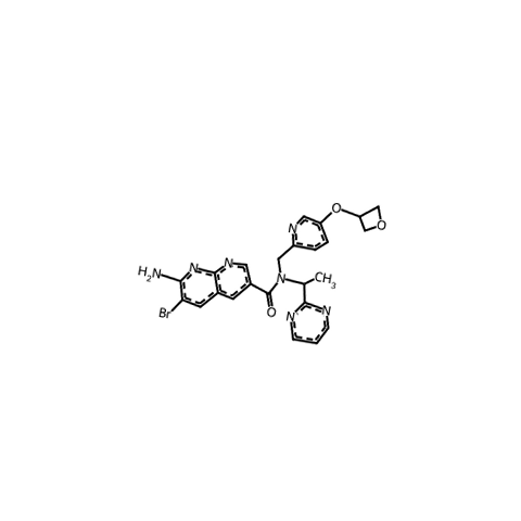 CC(c1ncccn1)N(Cc1ccc(OC2COC2)cn1)C(=O)c1cnc2nc(N)c(Br)cc2c1